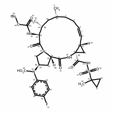 C[C@@H]1CC/C=C\[C@@H]2C[C@@]2(C(=O)NS(=O)(=O)C2(C)CC2)NC(=O)[C@@H]2C[C@@H](N(C(=O)O)c3ccc(F)cc3)CN2C(=O)[C@@H](NC(=O)OC(C)(C)C)[C@H](C)C1